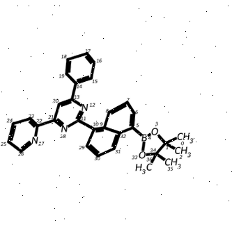 CC1(C)OB(c2cccc3c(-c4nc(-c5ccccc5)cc(-c5ccccn5)n4)cccc23)OC1(C)C